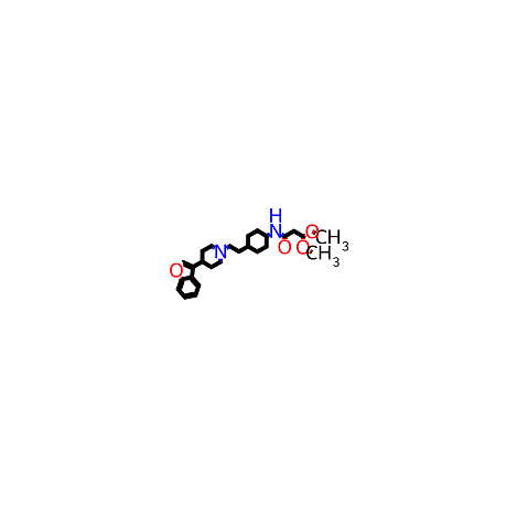 COC(CC(=O)NC1CCC(CCN2CCC(c3coc4ccccc34)CC2)CC1)OC